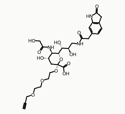 C#CCOCCOCCO[C@]1(C(=O)O)C[C@H](O)[C@@H](NC(=O)CO)[C@H]([C@H](O)[C@H](O)CNC(=O)Cc2ccc3c(c2)NC(=O)C3)O1